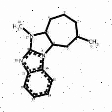 CC1CCCC2C(C1)n1c(nc3ccccc31)N2C